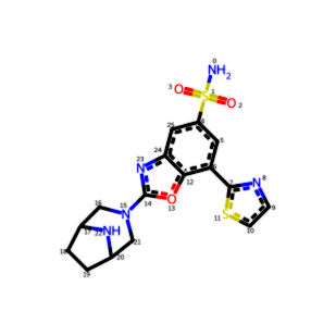 NS(=O)(=O)c1cc(-c2nccs2)c2oc(N3CC4CCC(C3)N4)nc2c1